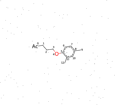 CC(=O)CCCOc1ccc(C)cc1C